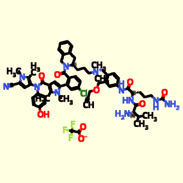 C#CCOCc1cc(NC(=O)[C@H](CCCNC(N)=O)NC(=O)[C@@H](N)C(C)C)ccc1C[N+](C)(C)CCC[C@@H]1Cc2ccccc2CN1C(=O)c1ccc(Cl)cc1-c1cc(C(=O)N(c2ccc(O)cc2)c2cc(C#N)n(C)c2C)c(C)n1C.O=C([O-])C(F)(F)F